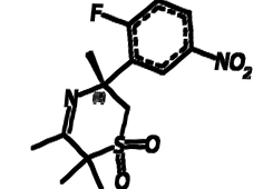 CC1=N[C@](C)(c2cc([N+](=O)[O-])ccc2F)CS(=O)(=O)C1(C)C